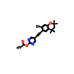 CCCC(=O)Oc1ncc(C#Cc2cc3c(cc2CC)OC(C)(C)CC3(C)C)cn1